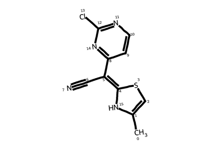 CC1=CSC(=C(C#N)c2ccnc(Cl)n2)N1